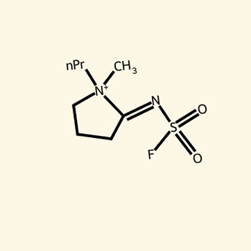 CCC[N+]1(C)CCCC1=NS(=O)(=O)F